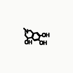 CN1Cc2cc(O)c(O)cc2C(O)C1